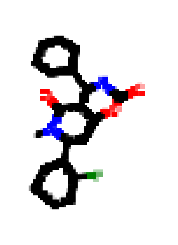 Cn1c(-c2ccccc2F)cc2oc(=O)nc(-c3ccccc3)c2c1=O